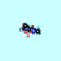 CCN1C(=O)c2c(O)c(=O)c(C(=O)NCc3c(F)cc(F)cc3F)cn2[C@@H]2CCOC[C@H]21